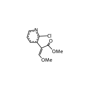 COC=C(C(=O)OC)c1cccnc1Cl